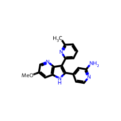 COc1cnc2c(-c3cccc(C)n3)c(-c3ccnc(N)c3)[nH]c2c1